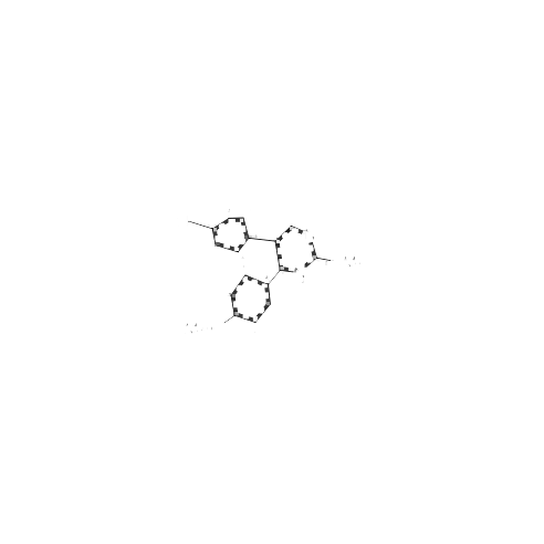 COc1ccc(-c2nc(SC)ncc2-c2ccc(Cl)cc2)cc1